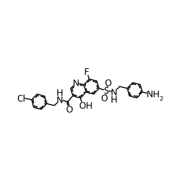 Nc1ccc(CNS(=O)(=O)c2cc(F)c3ncc(C(=O)NCc4ccc(Cl)cc4)c(O)c3c2)cc1